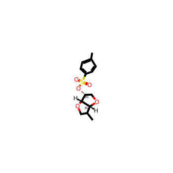 Cc1ccc(S(=O)(=O)O[C@@H]2CO[C@@H]3C(C)CO[C@@H]32)cc1